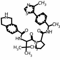 Cc1ncsc1-c1ccc(C(C)NC(=O)C2CCCN2C(=O)C(NC(=O)c2ccc3c(c2)CNCC3)C(C)(C)C)cc1